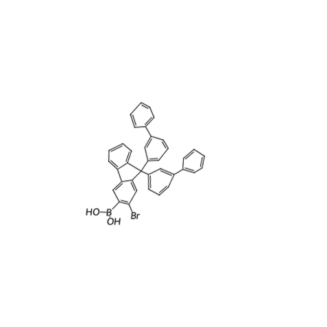 OB(O)c1cc2c(cc1Br)C(c1cccc(-c3ccccc3)c1)(c1cccc(-c3ccccc3)c1)c1ccccc1-2